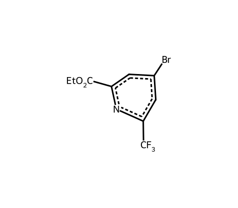 CCOC(=O)c1cc(Br)cc(C(F)(F)F)n1